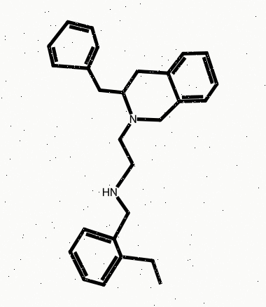 CCc1ccccc1CNCCN1Cc2ccccc2CC1Cc1ccccc1